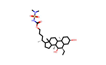 CC[C@@H]1C2C[C@H](O)CC[C@]2(C)C2CCC3(C)C(CCC3[C@H](C)CCCOC(=O)NS(=O)(=O)N(C)C)[C@@H]2[C@@H]1O